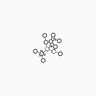 C1=CC(c2ccccc2)CC=C1C1=C(n2c3ccccc3c3c2ccc2c4ccccc4n(-c4ccccc4)c23)C(c2ccc(-c3ccccc3)cc2)CC(c2nc(-c3ccccc3)nc(-c3ccccc3)n2)=C1